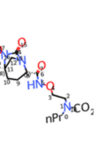 CCCN(CCONC(=O)[C@@H]1CC[C@@H]2CN1C(=O)N2O)C(=O)O